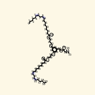 CCCCC/C=C\C/C=C\CCCCCCCC(=O)OCCCOc1cc(COC(=O)CN(C)C)cc(OCCCOC(=O)CCCCCCC/C=C\C/C=C\CCCCC)c1